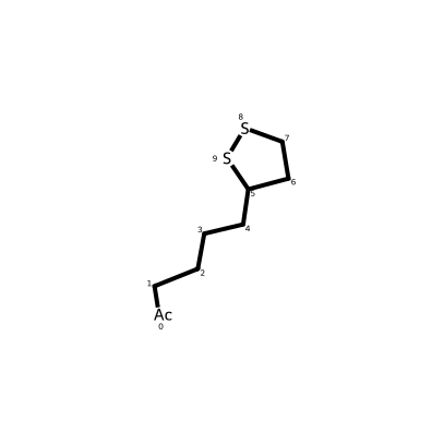 CC(=O)CCCCC1CCSS1